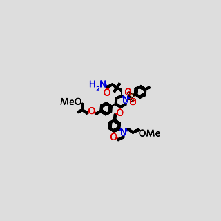 COCCCN1CCOc2ccc(CO[C@H]3CN(S(=O)(=O)c4ccc(C)cc4)[C@@H](CC(C)(C)CC(N)=O)C[C@@H]3c3ccc(COCC(C)COC)cc3)cc21